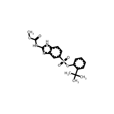 COC(=O)Nc1nc2cc(S(=O)(=O)Oc3ccccc3C(C)(C)C)ccc2[nH]1